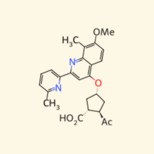 COc1ccc2c(O[C@@H]3C[C@@H](C(C)=O)[C@H](C(=O)O)C3)cc(-c3cccc(C)n3)nc2c1C